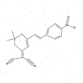 CC1(C)CC(/C=C/c2ccc([N+](=O)[O-])cc2)=CC(=C(C#N)C#N)C1